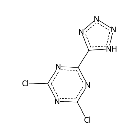 Clc1nc(Cl)nc(-c2nnn[nH]2)n1